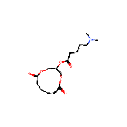 CN(C)CCCCC(=O)OC1COC(=O)CCCCC(=O)OC1